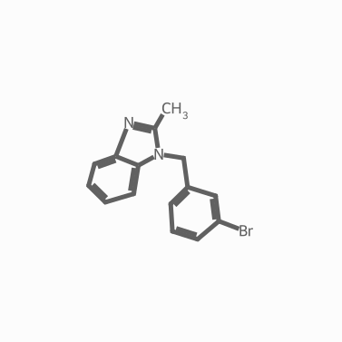 Cc1nc2ccccc2n1Cc1cccc(Br)c1